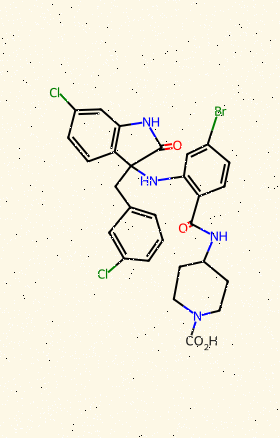 O=C(NC1CCN(C(=O)O)CC1)c1ccc(Br)cc1NC1(Cc2cccc(Cl)c2)C(=O)Nc2cc(Cl)ccc21